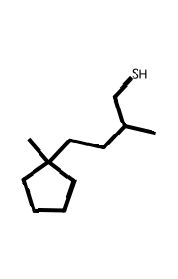 CC(CS)CCC1(C)CCCC1